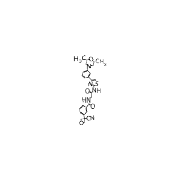 C[C@@H]1CN(c2cccc(-c3csc(NC(=O)CNC(=O)c4cccc(C5(C#N)COC5)c4)n3)c2)C[C@H](C)O1